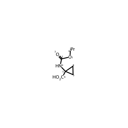 CC(C)OC(=O)NC1(C(=O)O)CC1